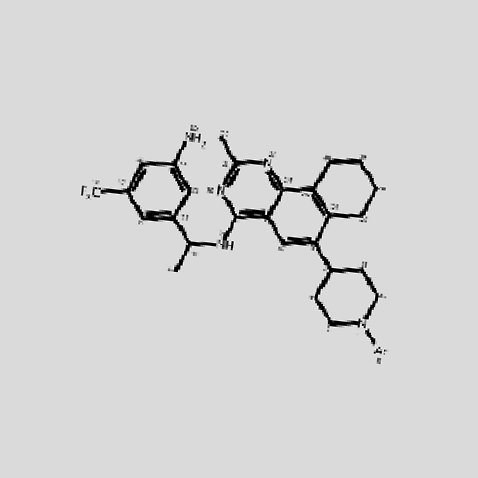 CC(=O)N1CCC(c2cc3c(NC(C)c4cc(N)cc(C(F)(F)F)c4)nc(C)nc3c3c2CCCC3)CC1